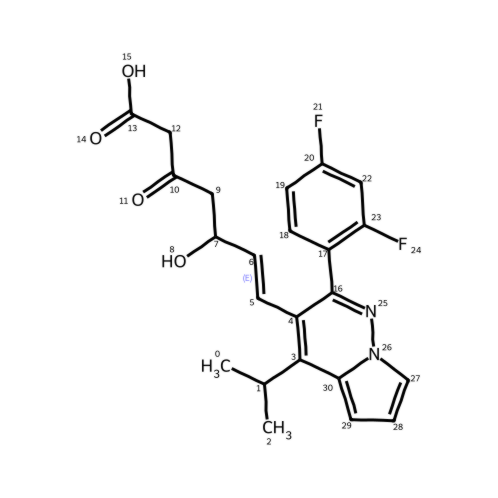 CC(C)c1c(/C=C/C(O)CC(=O)CC(=O)O)c(-c2ccc(F)cc2F)nn2cccc12